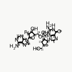 Nc1nc2c(ncn2[C@@H]2S[C@H](CO)C[C@H]2P(O)(=S)OC[C@H]2O[C@@H](n3nnc4c(N)ncnc43)[C@@H](F)[C@@H]2O)c(=O)[nH]1